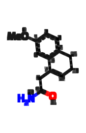 COc1ccc2c(c1)C(CC(N)=O)=CCC2